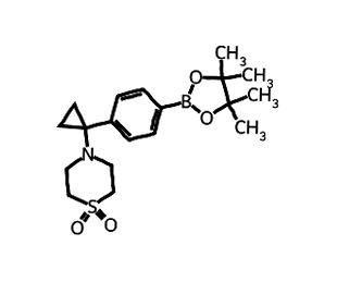 CC1(C)OB(c2ccc(C3(N4CCS(=O)(=O)CC4)CC3)cc2)OC1(C)C